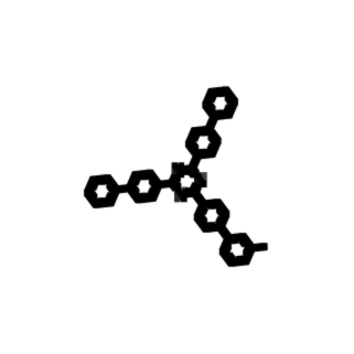 Cc1cccc(-c2ccc(-c3nc(-c4ccc(-c5ccccc5)cc4)nc(-c4ccc(-c5ccccc5)cc4)n3)cc2)c1